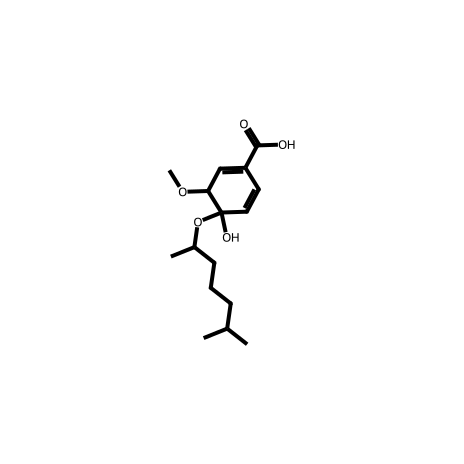 COC1C=C(C(=O)O)C=CC1(O)OC(C)CCCC(C)C